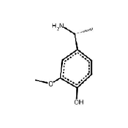 COc1cc([C@@H](C)N)ccc1O